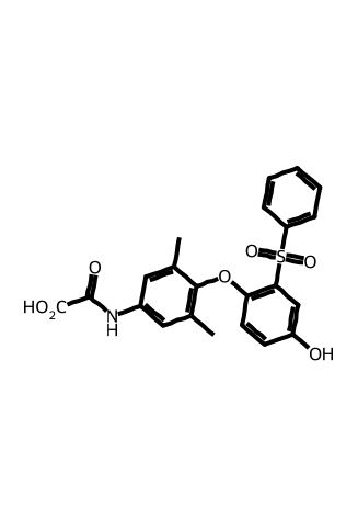 Cc1cc(NC(=O)C(=O)O)cc(C)c1Oc1ccc(O)cc1S(=O)(=O)c1ccccc1